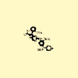 COc1ccccc1-c1c(C(N)=O)sc2cnc(Nc3ccc(N(C=O)C4CCN(C)CC4)cc3OC(C)C)nc12